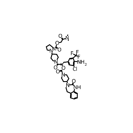 CN(C)C(=O)COC(=O)[C@H]1CCCN1C1CCN(C(=O)[C@@H](Cc2cc(Cl)c(N)c(C(F)(F)F)c2)OC(=O)N2CCC(N3CCc4ccccc4NC3=O)CC2)CC1